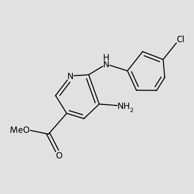 COC(=O)c1cnc(Nc2cccc(Cl)c2)c(N)c1